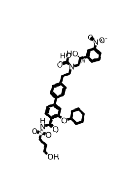 O=C(NS(=O)(=O)CCCO)c1ccc(-c2ccc(CCN(C[C@H](O)c3cccc([N+](=O)[O-])c3)C(=O)O)cc2)cc1OC1CCCCC1